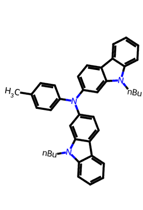 CCCCn1c2ccccc2c2ccc(N(c3ccc(C)cc3)c3ccc4c5ccccc5n(CCCC)c4c3)cc21